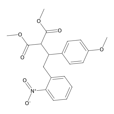 COC(=O)C(C(=O)OC)C(Cc1ccccc1[N+](=O)[O-])c1ccc(OC)cc1